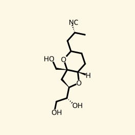 [C-]#[N+][C@H](C)CC1CC[C@@H]2O[C@@H]([C@H](O)CO)C[C@]2(CO)O1